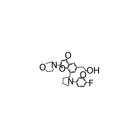 O=C(O)Cc1cc(C2CCCN2c2ccc(F)cc2)c2oc(N3CCOCC3)cc(=O)c2c1